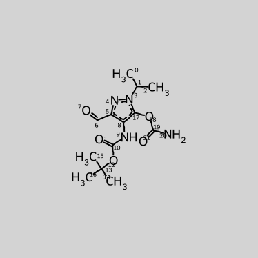 CC(C)n1nc(C=O)c(NC(=O)OC(C)(C)C)c1OC(N)=O